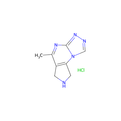 Cc1nc2nncn2c2c1CNC2.Cl